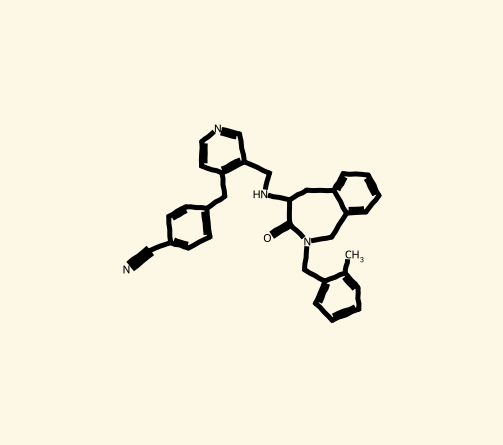 Cc1ccccc1CN1Cc2ccccc2CC(NCc2cnccc2Cc2ccc(C#N)cc2)C1=O